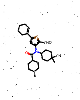 CC1CCC(C(=O)N(c2cc(C3=CCCCC3)sc2C=O)C2CCC(C)(C#N)CC2)CC1